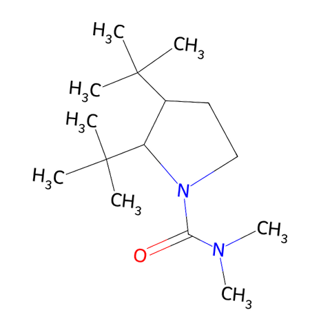 CN(C)C(=O)N1CCC(C(C)(C)C)C1C(C)(C)C